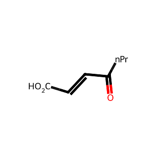 CCCC(=O)C=CC(=O)O